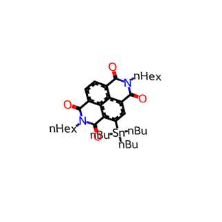 CCCCCCN1C(=O)c2ccc3c4c([c]([Sn]([CH2]CCC)([CH2]CCC)[CH2]CCC)cc(c24)C1=O)C(=O)N(CCCCCC)C3=O